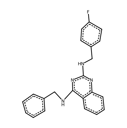 Fc1ccc(CNc2nc(NCc3ccccc3)c3ccccc3n2)cc1